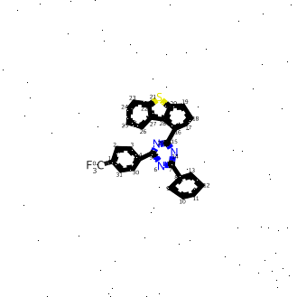 FC(F)(F)c1ccc(-c2nc(-c3ccccc3)nc(-c3cccc4sc5ccccc5c34)n2)cc1